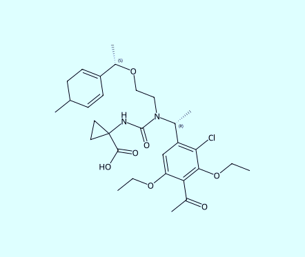 CCOc1cc([C@@H](C)N(CCO[C@@H](C)C2=CCC(C)C=C2)C(=O)NC2(C(=O)O)CC2)c(Cl)c(OCC)c1C(C)=O